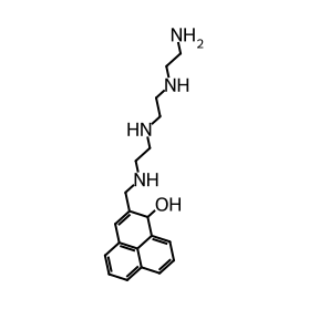 NCCNCCNCCNCC1=Cc2cccc3cccc(c23)C1O